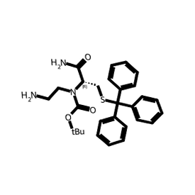 CC(C)(C)OC(=O)N(CCN)[C@@H](CSC(c1ccccc1)(c1ccccc1)c1ccccc1)C(N)=O